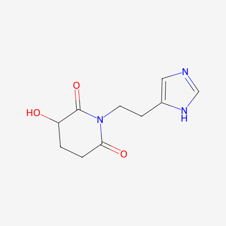 O=C1CCC(O)C(=O)N1CCc1cnc[nH]1